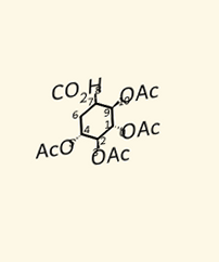 CC(=O)O[C@@H]1[C@@H](OC(C)=O)[C@H](OC(C)=O)CC(C(=O)O)[C@H]1OC(C)=O